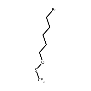 FC(F)(F)SOCCCCCBr